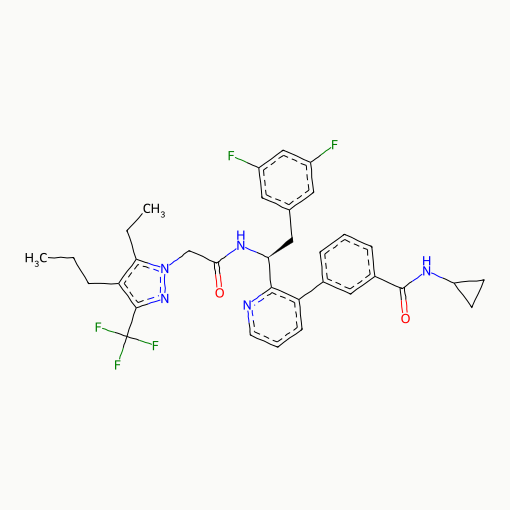 CCCc1c(C(F)(F)F)nn(CC(=O)N[C@@H](Cc2cc(F)cc(F)c2)c2ncccc2-c2cccc(C(=O)NC3CC3)c2)c1CC